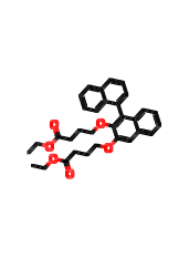 CCOC(=O)CCCOc1cc2ccccc2c(-c2cccc3ccccc23)c1OCCCC(=O)OCC